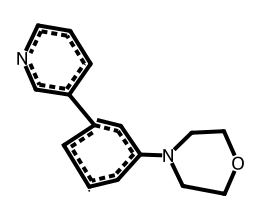 [c]1cc(-c2cccnc2)cc(N2CCOCC2)c1